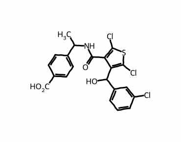 CC(NC(=O)c1c(Cl)sc(Cl)c1C(O)c1cccc(Cl)c1)c1ccc(C(=O)O)cc1